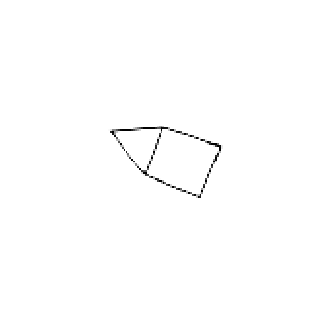 [CH]1C2CCC12